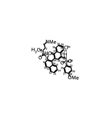 CNCCN(C)C(=O)Oc1ccc2ccccc2c1-c1cc(NS(=O)(=O)c2ccc(OC)cc2)c2ccccc2c1O.Cl